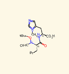 CC(C)C[C@@H](C(=O)N[C@@H](Cc1cncn1C)C(=O)O)N(C=O)OC(C)(C)C